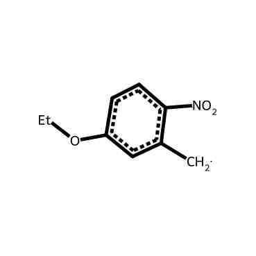 [CH2]c1cc(OCC)ccc1[N+](=O)[O-]